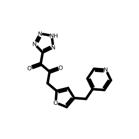 O=C(Cc1cc(Cc2ccncc2)co1)C(=O)c1nn[nH]n1